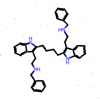 c1ccc(CNCCc2c(CCCCc3[nH]c4ccccc4c3CCNCc3ccccc3)[nH]c3ccccc23)cc1